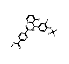 COC(=O)c1ccc(C(=O)NC(c2ccc(OC(F)(F)F)c(F)c2)c2ncccc2F)nc1